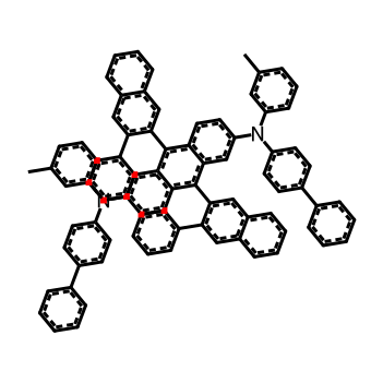 Cc1cccc(N(c2ccc(-c3ccccc3)cc2)c2ccc3c(-c4cc5ccccc5cc4-c4ccccc4)c4cc(N(c5ccc(-c6ccccc6)cc5)c5cccc(C)c5)ccc4c(-c4cc5ccccc5cc4-c4ccccc4)c3c2)c1